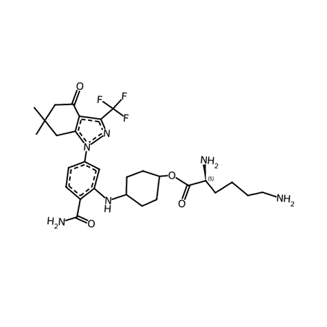 CC1(C)CC(=O)c2c(C(F)(F)F)nn(-c3ccc(C(N)=O)c(NC4CCC(OC(=O)[C@@H](N)CCCCN)CC4)c3)c2C1